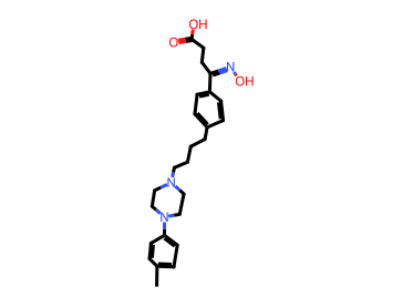 Cc1ccc(N2CCN(CCCCc3ccc(/C(CCC(=O)O)=N\O)cc3)CC2)cc1